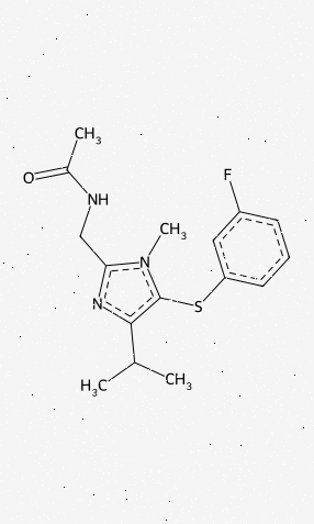 CC(=O)NCc1nc(C(C)C)c(Sc2cccc(F)c2)n1C